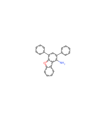 Nc1c(-c2ccccc2)cc(-c2ccccc2)c2oc3ccccc3c12